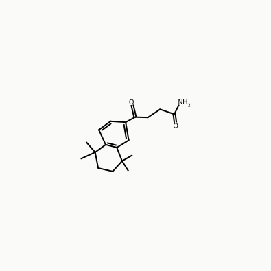 CC1(C)CCC(C)(C)c2cc(C(=O)CCC(N)=O)ccc21